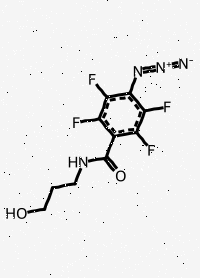 [N-]=[N+]=Nc1c(F)c(F)c(C(=O)NCCCO)c(F)c1F